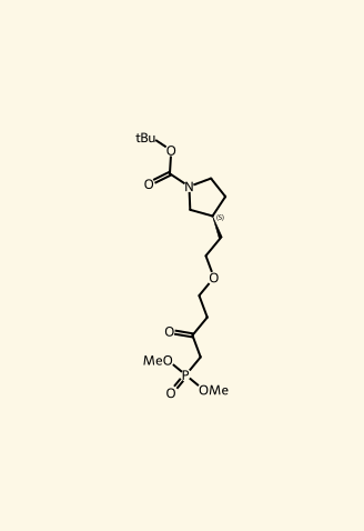 COP(=O)(CC(=O)CCOCC[C@@H]1CCN(C(=O)OC(C)(C)C)C1)OC